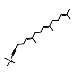 CC(C)=CCC/C(C)=C/CC/C(C)=C/CCC#C[Si](C)(C)C